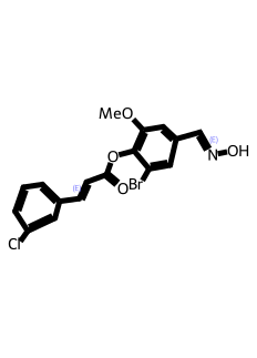 COc1cc(/C=N/O)cc(Br)c1OC(=O)/C=C/c1cccc(Cl)c1